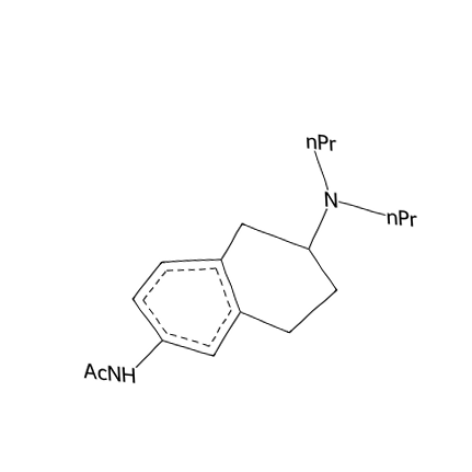 CCCN(CCC)C1CCc2cc(NC(C)=O)ccc2C1